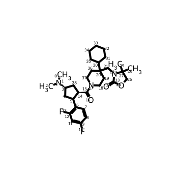 CN(C)[C@@H]1CC(c2ccc(F)cc2F)[C@H](C(=O)N2CCC(CN3C(=O)OCC3(C)C)(C3CCCCC3)CC2)C1